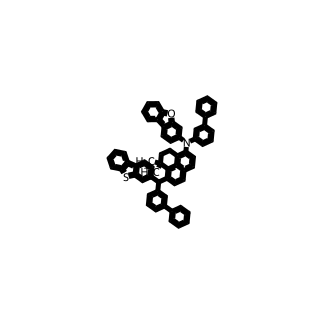 CC1(C)CCc2c(N(c3cccc(-c4ccccc4)c3)c3ccc4c(c3)oc3ccccc34)ccc3ccc(C(c4cccc(-c5ccccc5)c4)c4ccc5c(c4)sc4ccccc45)c1c23